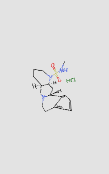 CNS(=O)(=O)N1CCC[C@@H]2CN3CCc4ccccc4[C@H]3C[C@@H]21.Cl